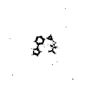 CC(C)S(=O)(=O)N[C@@H]1C[C@H]1c1cccc(-c2cccs2)c1